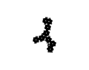 Cc1cc(-c2ccc(-c3cccc4ccccc34)cc2)ccc1N(c1ccc(-c2ccccc2)cc1)c1ccc(-c2cccc3c2oc2ccccc23)cc1